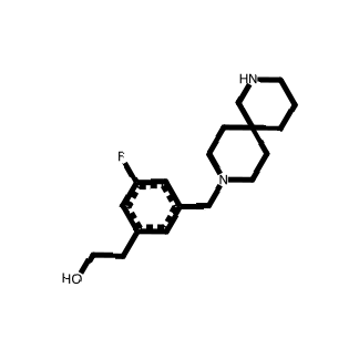 OCCc1cc(F)cc(CN2CCC3(CCCNC3)CC2)c1